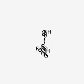 O=C(O)C(c1cc(F)ccc1CO[C@@H]1CCOC1)N1CC[C@@H](CCCCCc2ccc3c(n2)NCCC3)C1